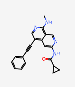 CNc1ncc(C#Cc2ccccc2)c2cc(NC(=O)C3CC3)ncc12